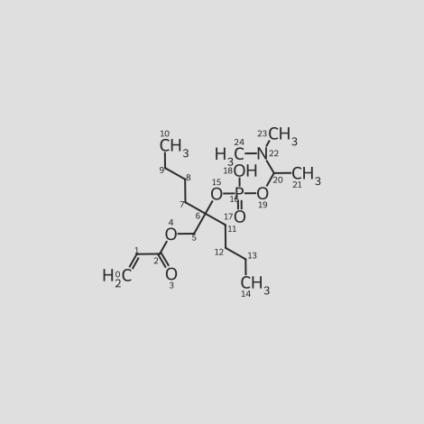 C=CC(=O)OCC(CCCC)(CCCC)OP(=O)(O)OC(C)N(C)C